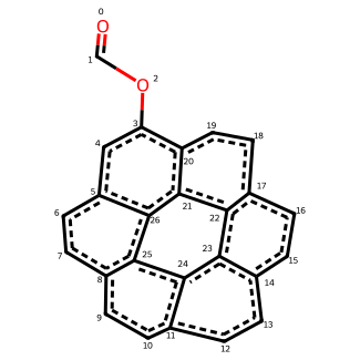 O=COc1cc2ccc3ccc4ccc5ccc6ccc1c1c6c5c4c3c21